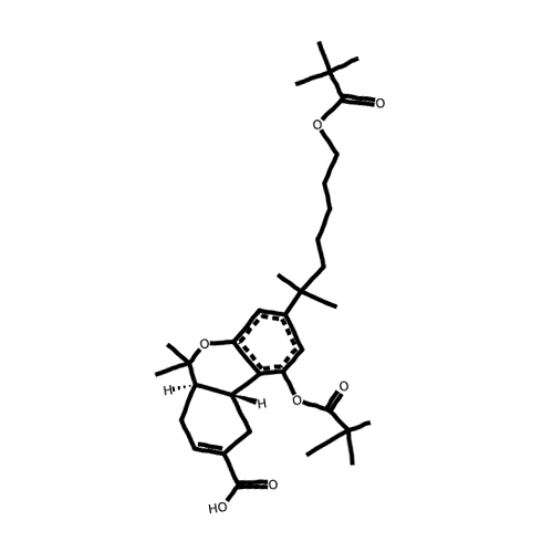 CC(C)(C)C(=O)OCCCCCC(C)(C)c1cc(OC(=O)C(C)(C)C)c2c(c1)OC(C)(C)[C@@H]1CC=C(C(=O)O)C[C@@H]21